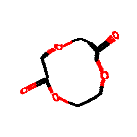 O=C1COCC(=O)OCCO1